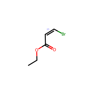 CCOC(=O)/C=C\Br